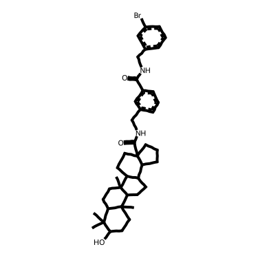 CC1(C)C(O)CCC2(C)C1CCC1(C)C3CCC4(C(=O)NCc5cccc(C(=O)NCc6cccc(Br)c6)c5)CCCC4C3CCC12